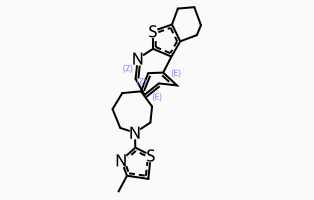 Cc1csc(N2CCC/C(=C/C3=C\C=C\C=N/c4sc5c(c43)CCCC5)CC2)n1